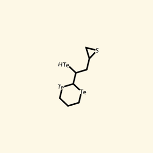 [TeH]C(CC1CS1)C1[Te]CCC[Te]1